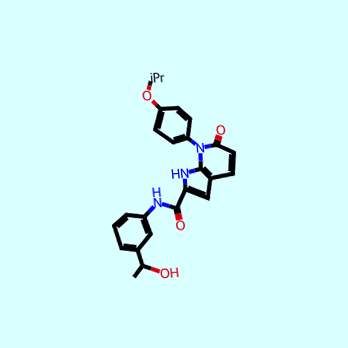 CC(C)Oc1ccc(-n2c(=O)ccc3cc(C(=O)Nc4cccc(C(C)O)c4)[nH]c32)cc1